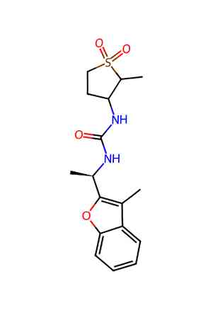 Cc1c([C@@H](C)NC(=O)NC2CCS(=O)(=O)C2C)oc2ccccc12